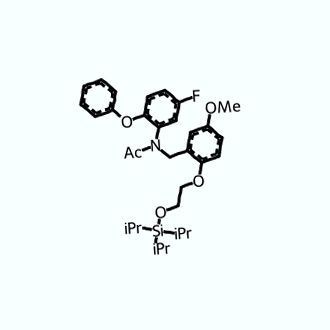 COc1ccc(OCCO[Si](C(C)C)(C(C)C)C(C)C)c(CN(C(C)=O)c2cc(F)ccc2Oc2ccccc2)c1